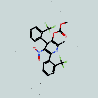 COC(=O)OC1=C(C)NC(c2ccccc2C(F)(F)F)=C([N+](=O)[O-])C1c1ccccc1C(F)(F)F